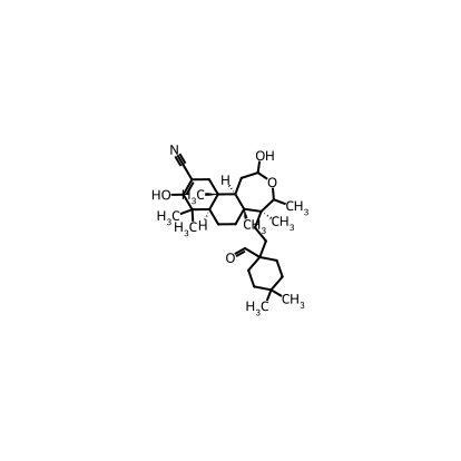 CC1OC(O)C[C@@H]2[C@@]3(C)CC(C#N)=C(O)C(C)(C)[C@@H]3CC[C@@]2(C)[C@]1(C)CCC1(C=O)CCC(C)(C)CC1